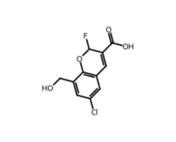 O=C(O)C1=Cc2cc(Cl)cc(CO)c2OC1F